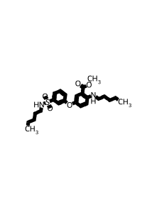 CCCCCNc1ccc(Oc2cccc(S(=O)(=O)NCCCCC)c2)cc1C(=O)OC